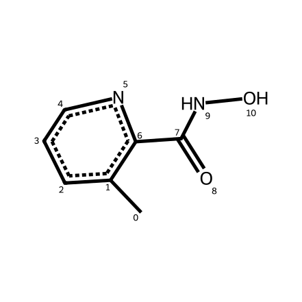 Cc1cccnc1C(=O)NO